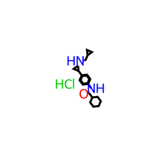 Cl.O=C(Nc1ccc(C2CC2NCC2CC2)cc1)C1CCCCC1